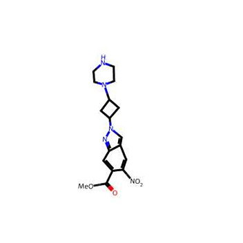 COC(=O)c1cc2nn(C3CC(N4CCNCC4)C3)cc2cc1[N+](=O)[O-]